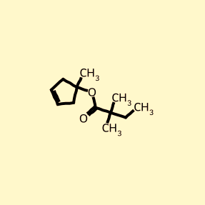 CCC(C)(C)C(=O)OC1(C)CC=CC1